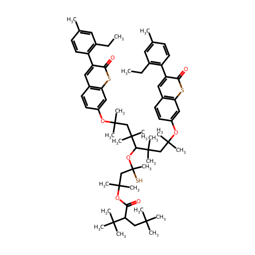 CCc1cc(C)ccc1-c1cc2ccc(OC(C)(C)CC(C)(C)C(OC(C)(S)CC(C)(C)OC(=O)C(CC(C)(C)C)C(C)(C)C)C(C)(C)CC(C)(C)Oc3ccc4cc(-c5ccc(C)cc5CC)c(=O)sc4c3)cc2sc1=O